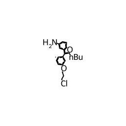 CCCCc1oc2ccc(N)cc2c1-c1[c]ccc(OCCCCl)c1